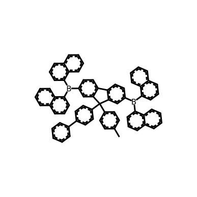 Cc1ccc(C2(c3ccc(-c4ccccc4)cc3)c3cc(B(c4cccc5ccccc45)c4cccc5ccccc45)ccc3-c3ccc(B(c4cccc5ccccc45)c4cccc5ccccc45)cc32)cc1